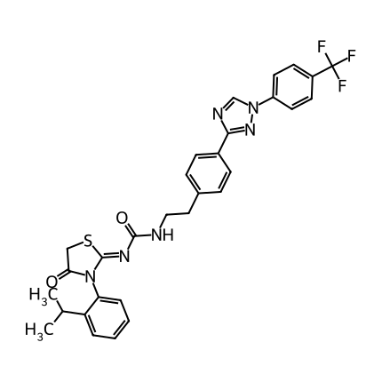 CC(C)c1ccccc1N1C(=O)CS/C1=N\C(=O)NCCc1ccc(-c2ncn(-c3ccc(C(F)(F)F)cc3)n2)cc1